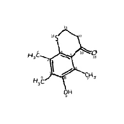 Cc1c(C)c2c(c(C)c1O)C(=O)CCS2